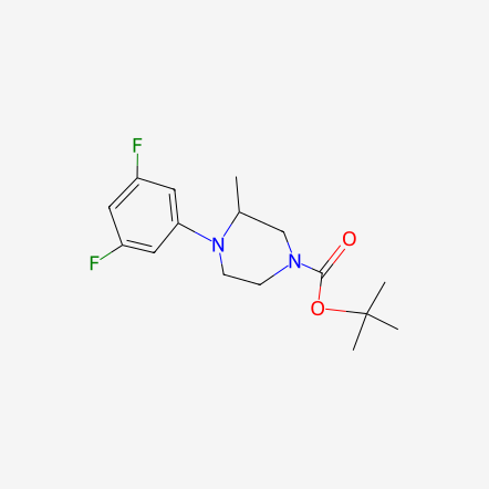 CC1CN(C(=O)OC(C)(C)C)CCN1c1cc(F)cc(F)c1